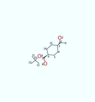 CC(=O)[C@H]1CC[C@@H](C(=O)OC(C)(C)C)CC1